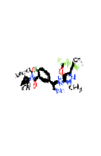 COC(=O)N(C(=O)c1cc(/C(C=N)=C/Nc2c(OC(F)F)c(C(F)(F)C(F)(F)F)nn2C)ccc1Cl)C1(C#N)CC1